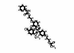 COc1ccc(Cl)c(Oc2c(NS(=O)(=O)c3ccc(OCCOC(C)=O)cc3)ncnc2OCCOC(=O)Nc2ccccn2)c1